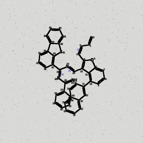 C=C/C=C\c1oc2cccc(-c3ccc4ccccc4c3)c2c1/C=N/C(=N\C(=N)c1ccccc1)c1cccc2c1sc1ccccc12